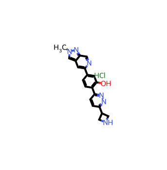 Cl.Cn1cc2cc(-c3ccc(-c4ccc(C5CNC5)nn4)c(O)c3)ncc2n1